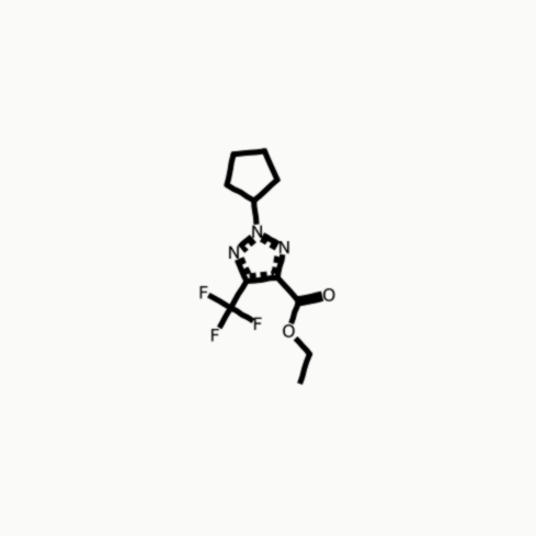 CCOC(=O)c1nn(C2CCCC2)nc1C(F)(F)F